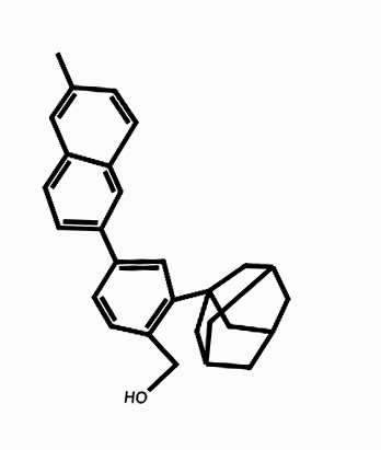 Cc1ccc2cc(-c3ccc(CO)c(C45CC6CC(CC(C6)C4)C5)c3)ccc2c1